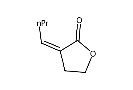 CCCC=C1CCOC1=O